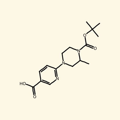 CC1CN(c2ccc(C(=O)O)cn2)CCN1C(=O)OC(C)(C)C